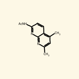 CC(=O)Nc1ccc2c(C)cc(C)nc2n1